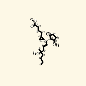 CCCCC(C)(O)C/C=C/C([C@@H]1CC1CCCC(=O)OC)[C@@H]1C(=O)CCC1O